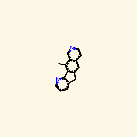 Cc1c2c(cc3ccncc13)Cc1cccnc1-2